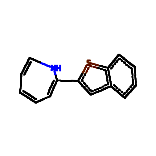 C1=CC=C(c2cc3ccccc3s2)NC=C1